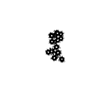 c1ccc(-n2c3ccccc3c3c(-c4nc5ccccc5nc4-c4cccc(-n5c6ccccc6c6c(-n7c8ccccc8c8ccc9ccccc9c87)c7ccccc7cc65)c4)cccc32)cc1